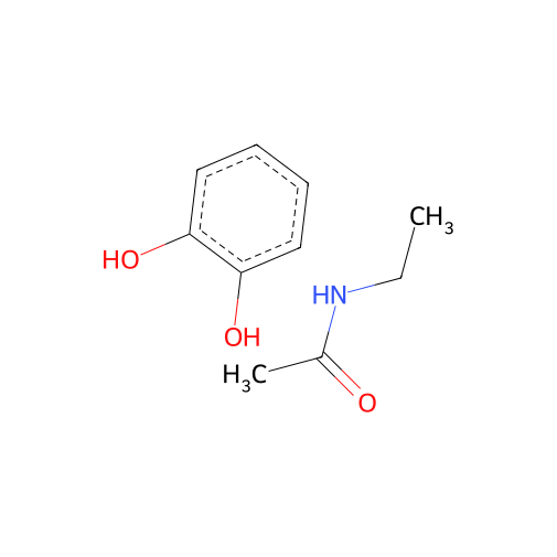 CCNC(C)=O.Oc1ccccc1O